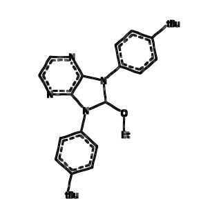 CCOC1N(c2ccc(C(C)(C)C)cc2)c2nccnc2N1c1ccc(C(C)(C)C)cc1